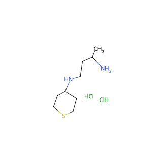 CC(N)CCNC1CCSCC1.Cl.Cl